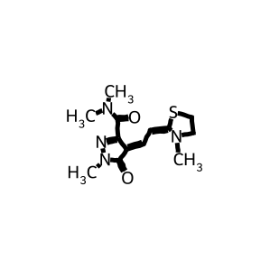 CN(C)C(=O)C1=NN(C)C(=O)/C1=C/C=C1/SCCN1C